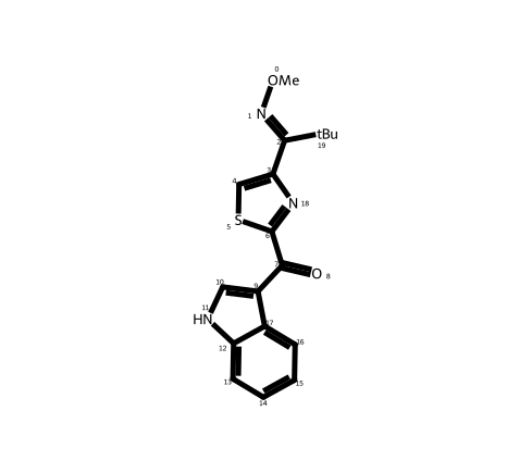 CO/N=C(/c1csc(C(=O)c2c[nH]c3ccccc23)n1)C(C)(C)C